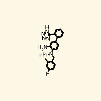 CCCN(Cc1ccc(F)cc1C)c1ccc(-c2ccccc2-c2nnn[nH]2)cc1N